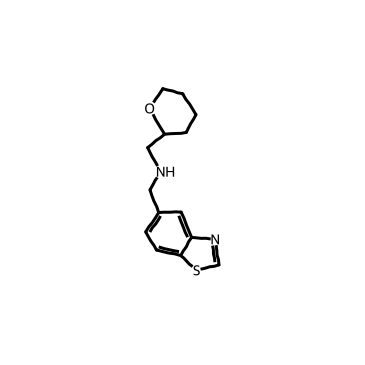 c1nc2cc(CNCC3CCCCO3)ccc2s1